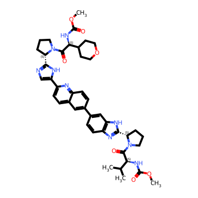 COC(=O)N[C@H](C(=O)N1CCC[C@H]1c1nc2ccc(-c3ccc4nc(-c5cnc([C@@H]6CCCN6C(=O)[C@@H](NC(=O)OC)C6CCOCC6)[nH]5)ccc4c3)cc2[nH]1)C(C)C